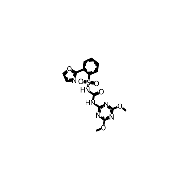 COc1nc(NC(=O)NS(=O)(=O)c2ccccc2-c2ncco2)nc(OC)n1